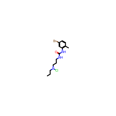 CCCN(Cl)CCCNC(=O)Nc1cc(Br)ccc1C